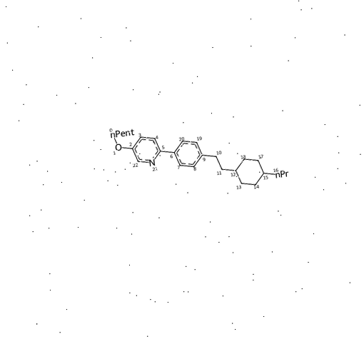 CCCCCOc1ccc(-c2ccc(CCC3CCC(CCC)CC3)cc2)nc1